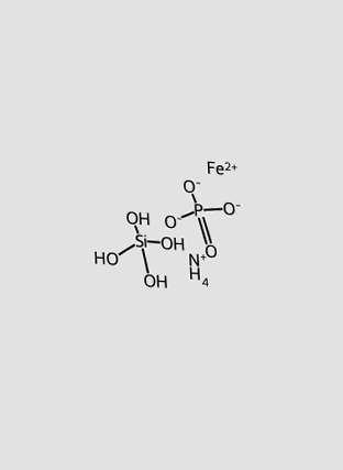 O=P([O-])([O-])[O-].O[Si](O)(O)O.[Fe+2].[NH4+]